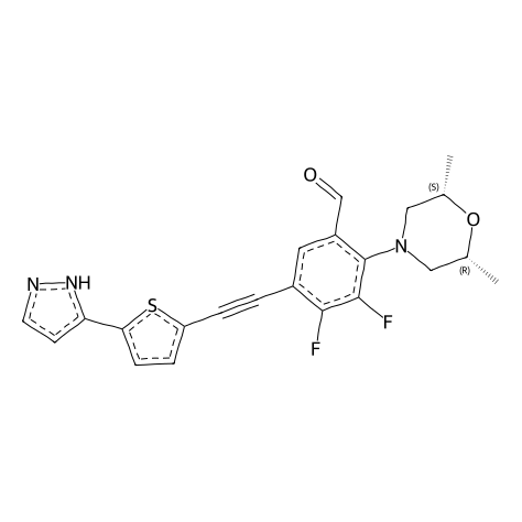 C[C@@H]1CN(c2c(C=O)cc(C#Cc3ccc(-c4ccn[nH]4)s3)c(F)c2F)C[C@H](C)O1